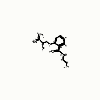 CCC(C)C(N)C(O)COc1ccccc1C(=O)NCCC(C)C